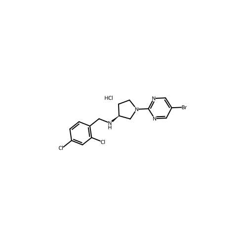 Cl.Clc1ccc(CN[C@H]2CCN(c3ncc(Br)cn3)C2)c(Cl)c1